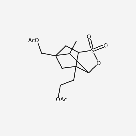 CC(=O)OCCC12CC3(COC(C)=O)CC1S(=O)(=O)OC2C3C